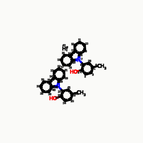 Cc1ccc(O)c(-n2c3ccccc3c3ccccc32)c1.Cc1ccc(O)c(-n2c3ccccc3c3ccccc32)c1.[Hf]